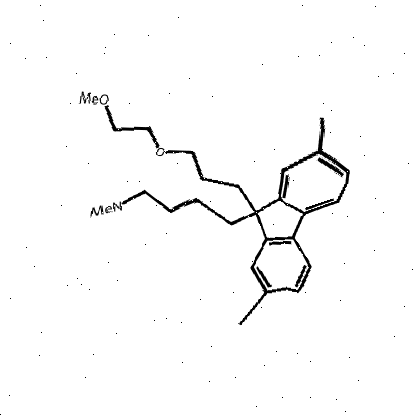 CNCCCCC1(CCCOCCOC)c2cc(C)ccc2-c2ccc(C)cc21